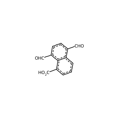 O=Cc1ccc(C=O)c2c(C(=O)O)cccc12